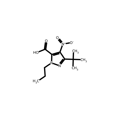 CCCn1nc(C(C)(C)C)c([N+](=O)[O-])c1C(=O)O